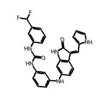 O=C(Nc1cccc(Nc2ccc3c(c2)NC(=O)C3=Cc2ccc[nH]2)c1)Nc1cccc(C(F)F)c1